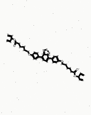 C=CC(C=C)OC(=O)CCCCCOc1ccc(-c2ccc(-c3ccc(OCCCCCC(=O)OC(C=C)C=C)cc3)c3nsnc23)cc1